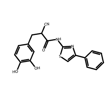 N#CC(Cc1ccc(O)c(O)c1)C(=O)Nc1nc(-c2ccccc2)cs1